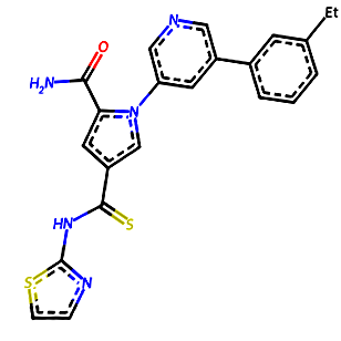 CCc1cccc(-c2cncc(-n3cc(C(=S)Nc4nccs4)cc3C(N)=O)c2)c1